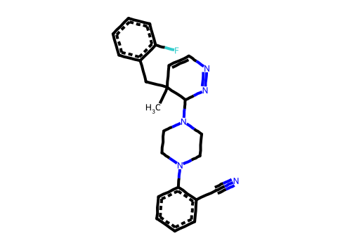 CC1(Cc2ccccc2F)C=CN=NC1N1CCN(c2ccccc2C#N)CC1